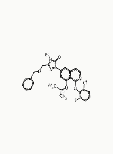 CCn1c(COCc2ccccc2)nn(-c2cc(O[C@@H](C)C(F)(F)F)c3c(Oc4c(F)cccc4Cl)nccc3c2)c1=O